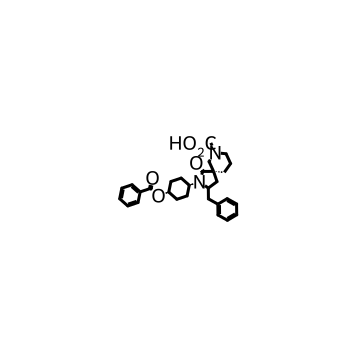 O=C(O[C@H]1CC[C@@H](N2C(=O)[C@]3(CCCN(C(=O)O)C3)CC2Cc2ccccc2)CC1)c1ccccc1